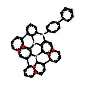 c1ccc(-c2ccc(N3c4cccc(-c5ccccc5)c4B4c5cccc(-c6ccccc6)c5N(c5ccccc5-c5ccccc5)c5cccc3c54)cc2)cc1